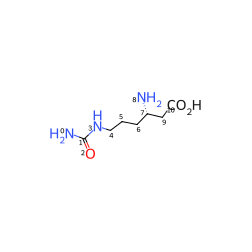 NC(=O)NCCC[C@H](N)CC(=O)O